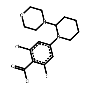 O=C(Cl)c1c(Cl)cc(N2CCCCC2N2CCOCC2)cc1Cl